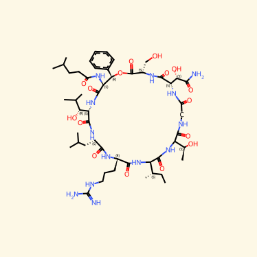 CC[C@H](C)C1NC(=O)[C@@H](CCCNC(=N)N)NC(=O)[C@H](CC(C)C)NC(=O)[C@H]([C@H](O)C(C)C)NC(=O)[C@@H](NC(=O)CCC(C)C)[C@@H](c2ccccc2)OC(=O)[C@H](CO)NC(=O)[C@H]([C@H](O)C(N)=O)NC(=O)CNC(=O)C([C@H](C)O)NC1=O